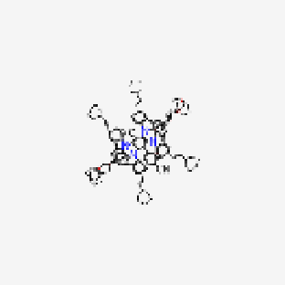 N#Cc1ccc(-c2c(-n3c4ccc(C=CC5CCCCC5)cc4c4cc(C=CC5CCCCC5)ccc43)c(-n3c4ccc(C=CC5CCCCC5)cc4c4cc(C=CC5CCCCC5)ccc43)c(C#N)c(-n3c4ccc(C=CC5CCCCC5)cc4c4cc(C=CC5CCCCC5)ccc43)c2-n2c3ccc(C=CC4CCCCC4)cc3c3cc(C=CC4CCCCC4)ccc32)cc1